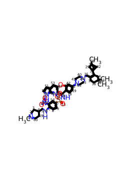 CN1CCC(CNc2ccc(S(=O)(=O)NC(=O)c3ccc(N4CCN(CC5=C(C67CC(C)(C6)C7)CC(C)(C)CC5)CC4)cc3Oc3cnc4[nH]ccc4c3)cc2[N+](=O)[O-])CC1